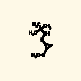 CSC1CC1[N]NC(C)(C)C